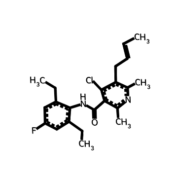 C/C=C/Cc1c(C)nc(C)c(C(=O)Nc2c(CC)cc(F)cc2CC)c1Cl